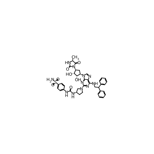 C[C@@H]1NC(=O)N([C@H]2C[C@@H](n3cnc4c(NCC(c5ccccc5)c5ccccc5)nc(N5CC[C@@H](NC(=O)Nc6ccc(S(N)(=O)=O)cc6)C5)nc43)[C@H](O)[C@@H]2O)C1=O